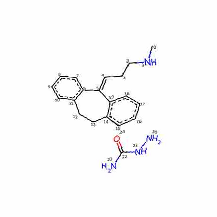 CNCCC=C1c2ccccc2CCc2ccccc21.NNC(N)=O